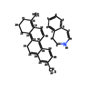 C1=Cc2ccccc2CC=N1.CCC1=c2ccc3c(c2CCC1)CC=c1cc(C(F)(F)F)ccc1=3